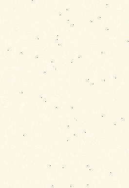 Nc1ccccc1-c1ccccc1N.O